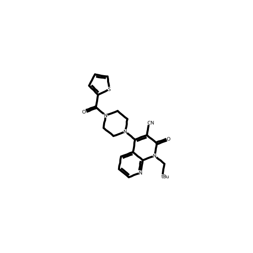 CC(C)(C)Cn1c(=O)c(C#N)c(N2CCN(C(=O)c3cccs3)CC2)c2cccnc21